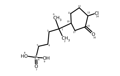 CC(C)(CCCP(=O)(O)O)C1CCC(Cl)C(=O)C1